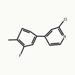 Cc1ccc(-c2ccnc(Cl)c2)cc1F